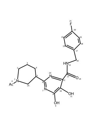 CC(=O)N1CCCC(c2nc(O)c(O)c(C(=O)NCc3ccc(F)cc3)n2)C1